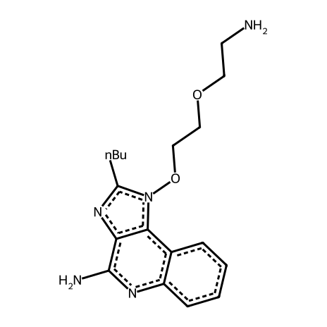 CCCCc1nc2c(N)nc3ccccc3c2n1OCCOCCN